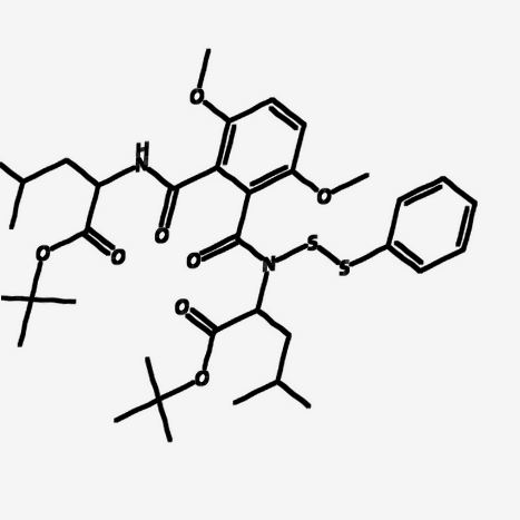 COc1ccc(OC)c(C(=O)N(SSc2ccccc2)C(CC(C)C)C(=O)OC(C)(C)C)c1C(=O)NC(CC(C)C)C(=O)OC(C)(C)C